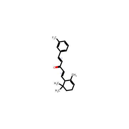 CC1=CCCC(C)(C)C1/C=C/C(=O)/C=C/c1cccc(C(F)(F)F)c1